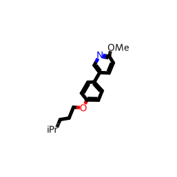 COc1ccc(-c2ccc(OCCCC(C)C)cc2)cn1